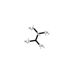 CC(C)N(C)[SiH3]